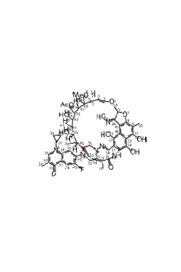 CO[C@H]1/C=C/O[C@@]2(C)Oc3c(C)c(O)c4c(O)c(c(/C=N/N5CCN(c6cc7c(cc6F)c(=O)c(C)cn7C6CC6)CC5)c(O)c4c3/C2=N/O)NC(=O)/C(C)=C\C=C\[C@H](C)[C@H](O)[C@@H](C)[C@@H](O)[C@@H](C)[C@H](OC(C)=O)[C@@H]1C